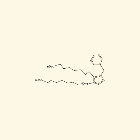 CCCCCCCCCCCCCCCCCCC[n+]1ccn(Cc2ccccc2)c1CCCCCCCCCCCCCCCCC